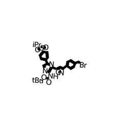 CC(C)S(=O)(=O)c1ccc(-c2cnc(NC(=O)OC(C)(C)C)c(-c3cc(-c4ccc(CBr)cc4)no3)n2)cc1